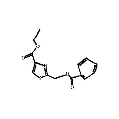 CCOC(=O)c1csc(COC(=O)c2ccccc2)n1